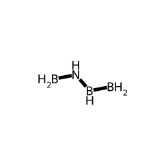 BBNB